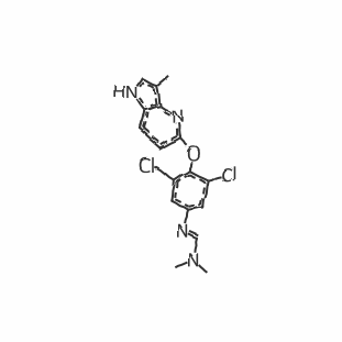 Cc1c[nH]c2ccc(Oc3c(Cl)cc(/N=C/N(C)C)cc3Cl)nc12